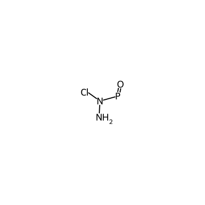 NN(Cl)P=O